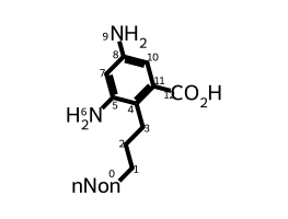 CCCCCCCCCCCCc1c(N)cc(N)cc1C(=O)O